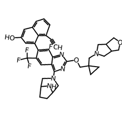 C#Cc1cccc2cc(O)cc(-c3c(C(F)(F)F)cc4c(N5CC6CCC(C5)N6)nc(OCC5(CN6CC7COCC7C6)CC5)nc4c3F)c12